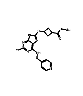 CC(C)(C)OC(=O)C1CC(Oc2nc3c(NCc4ccncc4)nc(Cl)nc3[nH]2)C1